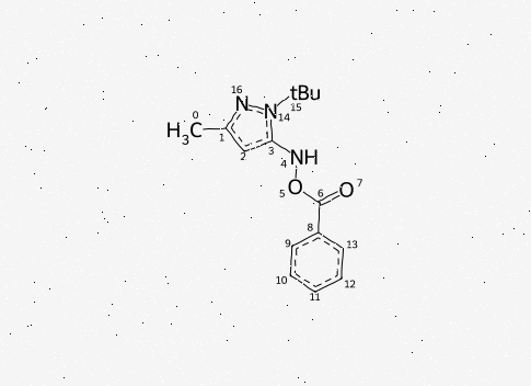 Cc1cc(NOC(=O)c2ccccc2)n(C(C)(C)C)n1